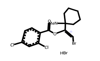 Br.CNC1(/C(=C/Br)OC(=O)c2ccc(Cl)cc2Cl)CCCCC1